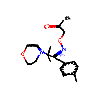 CCCCC(=O)CO/N=C(/c1ccc(C)cc1)C(C)(C)N1CCOCC1